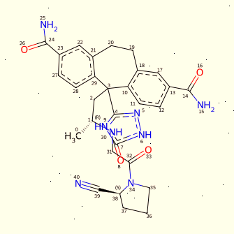 C[C@H](CC1(c2n[nH]c(=O)[nH]2)c2ccc(C(N)=O)cc2CCc2cc(C(N)=O)ccc21)NCC(=O)N1CCC[C@H]1C#N